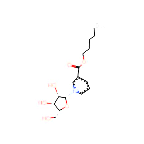 CCCCCCCCCCCCCCOC(=O)c1ccc[n+]([C@@H]2O[C@H](CO)[C@@H](O)[C@H]2O)c1